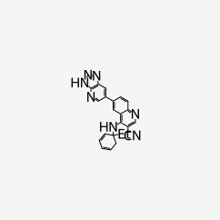 CCC1(Nc2c(C#N)cnc3ccc(-c4cnc5[nH]nnc5c4)cc23)C=CC=CC1